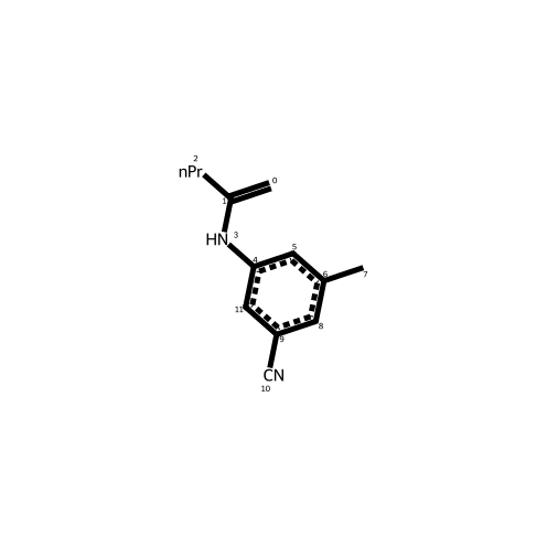 C=C(CCC)Nc1cc(C)cc(C#N)c1